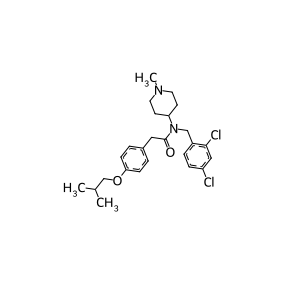 CC(C)COc1ccc(CC(=O)N(Cc2ccc(Cl)cc2Cl)C2CCN(C)CC2)cc1